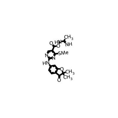 CSc1nc(Nc2ccc3c(c2)OC(C)(C)C3=O)ncc1C(=O)ONC(C)=N